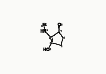 CCNC1=C(O)CCC1=O